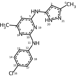 Cc1cc(Nc2cc(C)nc(Nc3ccc(Cl)cc3)n2)[nH]n1